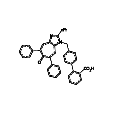 CCCc1nc2cc(-c3ccccc3)c(=O)c(-c3ccccc3)cc2n1Cc1ccc(-c2ccccc2C(=O)O)cc1